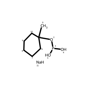 CC1(OP(O)O)CCCCC1.[NaH]